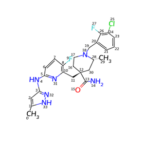 Cc1cc(Nc2ccc(F)c(C[C@@]3(C(N)=O)CCN(Cc4cccc(Cl)c4F)[C@H](C)C3)n2)n[nH]1